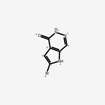 O=c1[nH]ncc2[nH]c(Br)cc12